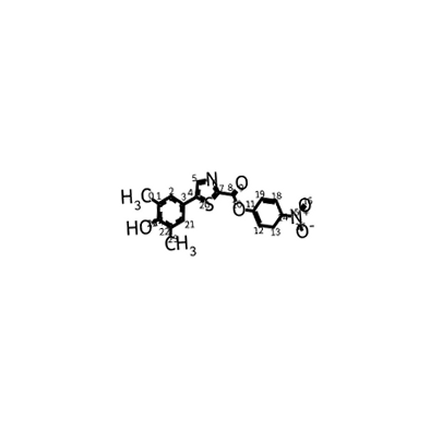 Cc1cc(-c2cnc(C(=O)OC3=CCC([N+](=O)[O-])C=C3)s2)cc(C)c1O